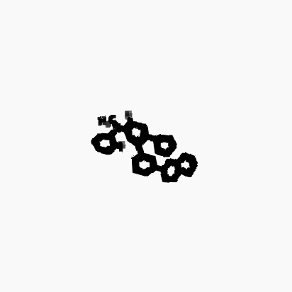 CN(c1ccccc1F)c1cc(-c2cccc(-c3ccc4ccccc4c3)c2)c(-c2ccccc2)cc1F